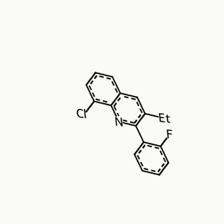 [CH2]Cc1cc2cccc(Cl)c2nc1-c1ccccc1F